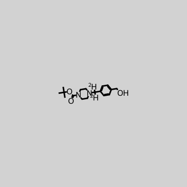 [2H]C([2H])(c1ccc(CO)cc1)N1CCN(C(=O)OC(C)(C)C)CC1